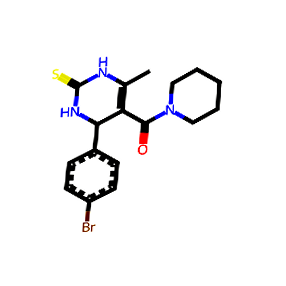 CC1=C(C(=O)N2CCCCC2)C(c2ccc(Br)cc2)NC(=S)N1